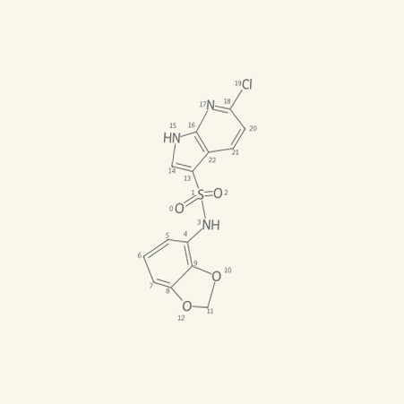 O=S(=O)(Nc1cccc2c1OCO2)c1c[nH]c2nc(Cl)ccc12